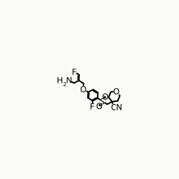 N#CC1(CS(=O)(=O)c2ccc(OC/C(=C/F)CN)cc2F)CCOCC1